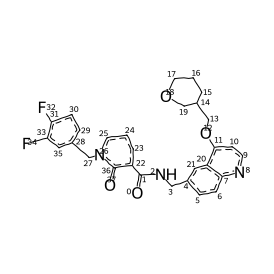 O=C(NCc1ccc2nccc(OCC3CCCOC3)c2c1)c1cccn(Cc2ccc(F)c(F)c2)c1=O